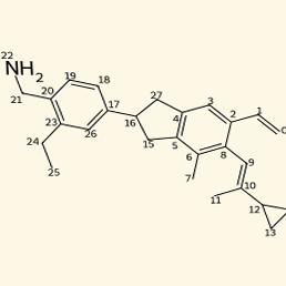 C=Cc1cc2c(c(C)c1/C=C(\C)C1CC1)CC(c1ccc(CN)c(CC)c1)C2